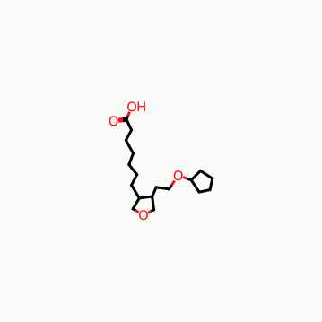 O=C(O)CCCCCCC1COCC1CCOC1CCCC1